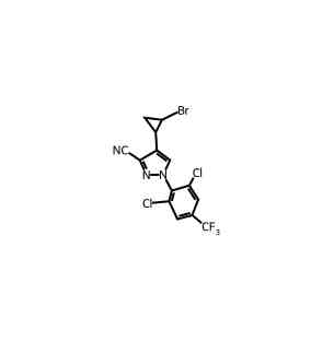 N#Cc1nn(-c2c(Cl)cc(C(F)(F)F)cc2Cl)cc1C1CC1Br